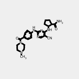 CN1CCN(C(=O)c2ccc(Nc3ncc(C#N)c(NC4CCCC4C(N)=O)n3)cc2)CC1